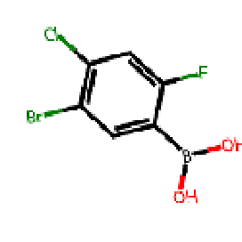 OB(O)c1cc(Br)c(Cl)cc1F